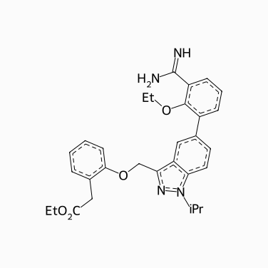 CCOC(=O)Cc1ccccc1OCc1nn(C(C)C)c2ccc(-c3cccc(C(=N)N)c3OCC)cc12